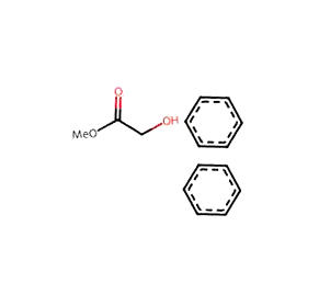 COC(=O)CO.c1ccccc1.c1ccccc1